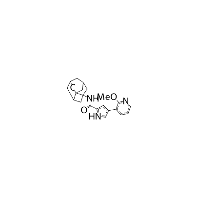 COc1ncccc1-c1c[nH]c(C(=O)NC23CC4CC5CC(C2)C3(C5)C4)c1